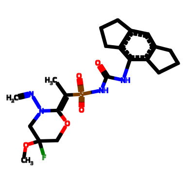 C=NN1CC(F)(OC)CO/C1=C(/C)S(=O)(=O)NC(=O)Nc1c2c(cc3c1CCC3)CCC2